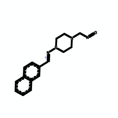 O=NCN1CCN(/N=C/c2ccc3ccccc3c2)CC1